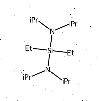 CC[Si](CC)(N(C(C)C)C(C)C)N(C(C)C)C(C)C